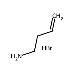 Br.C=CCCN